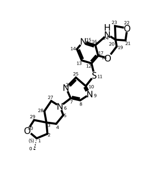 C[C@H]1CC2(CCN(c3cnc(Sc4ccnc5c4OCC4(COC4)N5)cn3)CC2)CO1